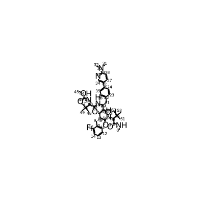 CNC(=O)[C@@H](NC(=O)[C@H](Cc1ccccc1F)C[C@H](O)[C@H](Cc1ccc(-c2ccc(N(C)C)nc2)cc1)NC(=O)[C@@H](NC(=O)OC)C(C)(C)C)C(C)(C)C